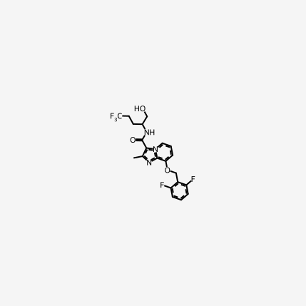 Cc1nc2c(OCc3c(F)cccc3F)cccn2c1C(=O)NC(CO)CCC(F)(F)F